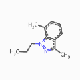 CCCn1nc(C)c2cccc(C)c21